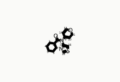 O=C(C1CCCCC1)N(C1=CCOC=C1)c1cscn1